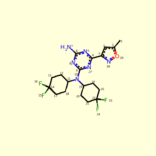 Cc1cc(-c2nc(N)nc(N(C3CCC(F)(F)CC3)C3CCC(F)(F)CC3)n2)no1